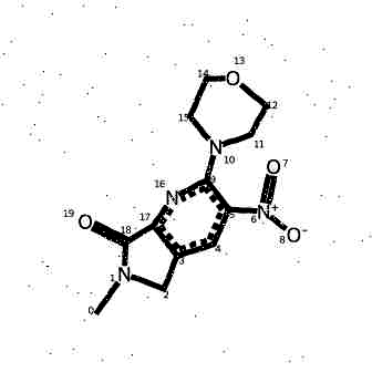 CN1Cc2cc([N+](=O)[O-])c(N3CCOCC3)nc2C1=O